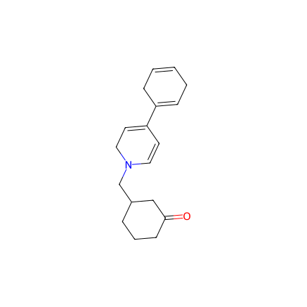 O=C1CCCC(CN2C=CC(C3=CCC=CC3)=CC2)C1